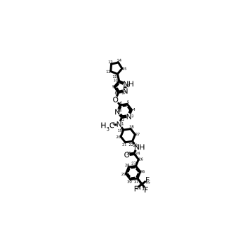 CN(c1nccc(Oc2cc(C3CCCC3)[nH]n2)n1)C1CCC(NC(=O)Cc2cccc(C(F)(F)F)c2)CC1